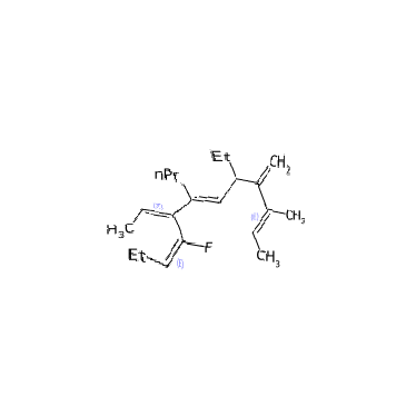 C=C(/C(C)=C/C)C(C=C(CCC)C(=C/C)/C(F)=C\CC)CC